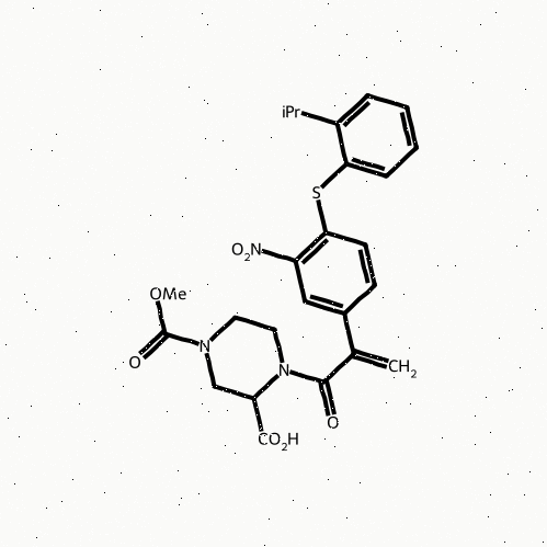 C=C(C(=O)N1CCN(C(=O)OC)CC1C(=O)O)c1ccc(Sc2ccccc2C(C)C)c([N+](=O)[O-])c1